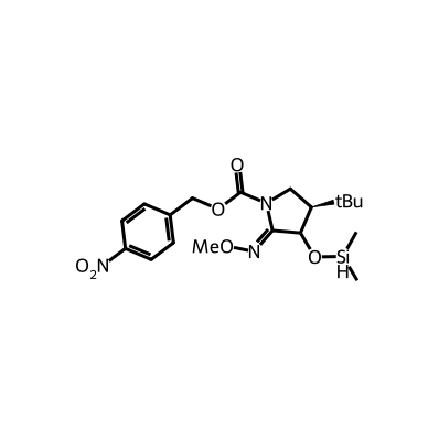 CO/N=C1/C(O[SiH](C)C)[C@H](C(C)(C)C)CN1C(=O)OCc1ccc([N+](=O)[O-])cc1